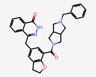 O=C(c1cc(Cc2n[nH]c(=O)c3ccccc23)cc2c1OCC2)N1CC2CN(Cc3ccccc3)CC2C1